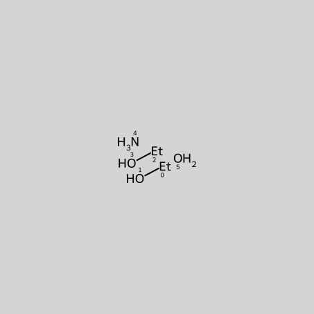 CCO.CCO.N.O